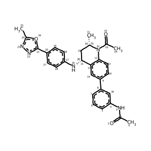 CC(=O)Nc1cccc(-c2ccc3c(c2)[C@H](Nc2ccc(-c4nnc(C)o4)cc2)C[C@H](C)N3C(C)=O)c1